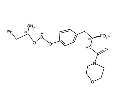 CC(C)C[C@H](N)OBOc1ccc(C[C@H](NC(=O)N2CCOCC2)C(=O)O)cc1